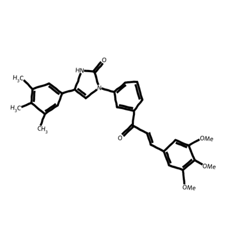 COc1cc(/C=C/C(=O)c2cccc(-n3cc(-c4cc(C)c(C)c(C)c4)[nH]c3=O)c2)cc(OC)c1OC